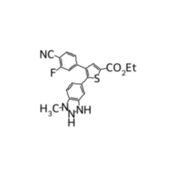 CCOC(=O)c1cc(-c2ccc(C#N)c(F)c2)c(-c2ccc3c(c2)NNN3C)s1